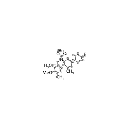 COc1c(C)cnc(CN(C(=O)OC(C)(C)C)c2cc(C)cc(-c3ccc(F)cc3)c2)c1C